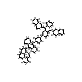 c1ccc2cc(-c3c4ccccc4c(-c4ccc5ccccc5c4)c4cc(-c5ccc(-c6c7ccccc7c(-c7ccc8ccc9cccc%10ccc7c8c9%10)c7ccccc67)nc5)ccc34)ccc2c1